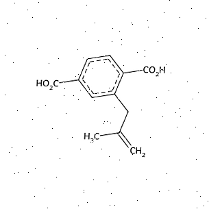 C=C(C)Cc1cc(C(=O)O)ccc1C(=O)O